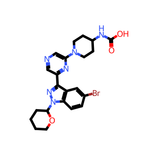 O=C(O)NC1CCN(c2cncc(-c3nn(C4CCCCO4)c4ccc(Br)cc34)n2)CC1